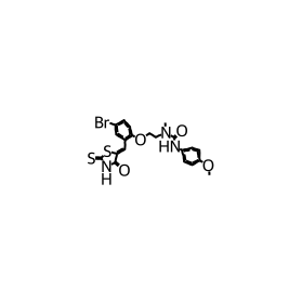 COc1ccc(NC(=O)N(C)CCOc2ccc(Br)cc2/C=C2\SC(=S)NC2=O)cc1